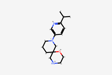 CC(C)c1ccc(N2CCCC3(CNCCO3)C2)cn1